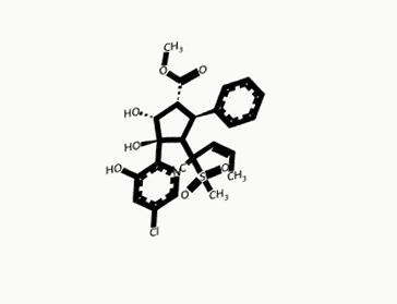 C/C=C\C(C)(C1[C@H](c2ccccc2)[C@@H](C(=O)OC)[C@@H](O)[C@@]1(O)c1ncc(Cl)cc1O)S(C)(=O)=O